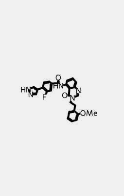 COc1ccccc1CCn1cnc2cccc(NC(=O)c3ccc(-c4cn[nH]c4)c(F)c3)c2c1=O